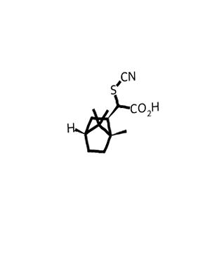 CC1(C)[C@@H]2CC[C@@]1(C)[C@H](C(SC#N)C(=O)O)C2